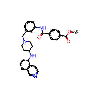 CCCOC(=O)c1ccc(C(=O)Nc2cccc(CN3CCC(Nc4cccc5cnccc45)CC3)c2)cc1